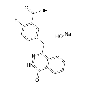 O=C(O)c1cc(Cc2n[nH]c(=O)c3ccccc23)ccc1F.[Na+].[OH-]